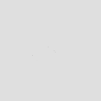 COc1ccc(N(C#CC2CC3=C(CC3)CC2c2nnc(-c3ccc(-c4ccccc4)cc3)s2)c2cc(OC)c(OC)c(OC)c2)cc1